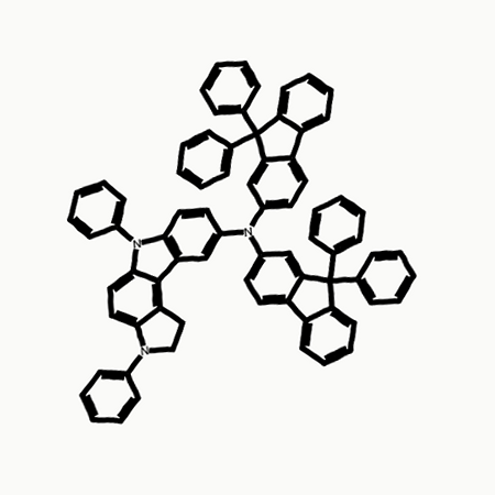 c1ccc(N2CCc3c2ccc2c3c3cc(N(c4ccc5c(c4)C(c4ccccc4)(c4ccccc4)c4ccccc4-5)c4ccc5c(c4)C(c4ccccc4)(c4ccccc4)c4ccccc4-5)ccc3n2-c2ccccc2)cc1